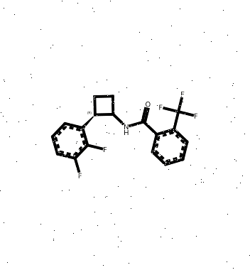 O=C(NC1CC[C@@H]1c1cccc(F)c1F)c1ccccc1C(F)(F)F